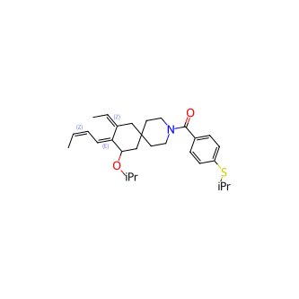 C\C=C/C=C1\C(=C/C)CC2(CCN(C(=O)c3ccc(SC(C)C)cc3)CC2)CC1OC(C)C